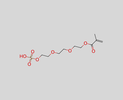 C=C(C)C(=O)OCCOCCOCCOS(=O)(=O)O